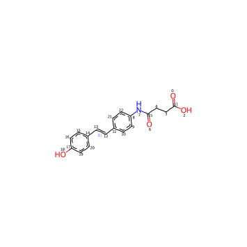 O=C(O)CCC(=O)Nc1ccc(/C=C/c2ccc(O)cc2)cc1